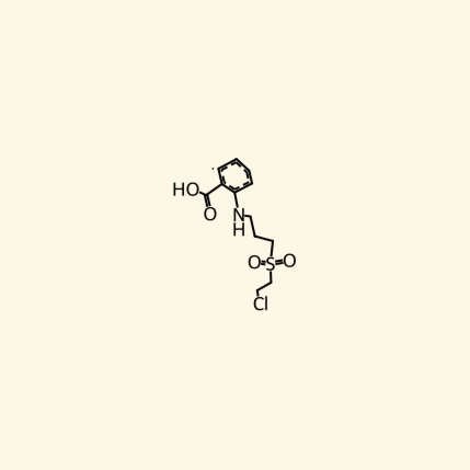 O=C(O)c1[c]cccc1NCCCS(=O)(=O)CCCl